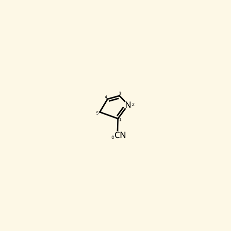 N#CC1=NC=CC1